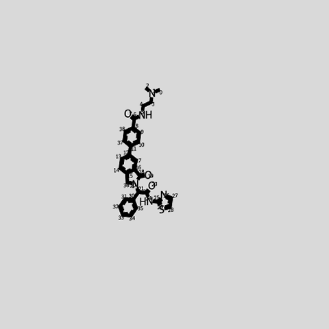 CN(C)CCNC(=O)c1ccc(-c2ccc3c(c2)C(=O)N(C(C(=O)Nc2nccs2)c2ccccc2)C3)cc1